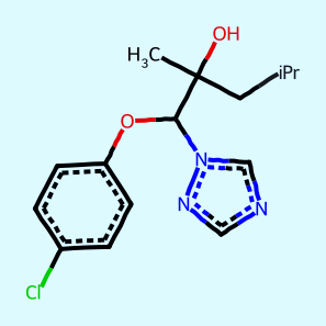 CC(C)CC(C)(O)C(Oc1ccc(Cl)cc1)n1cncn1